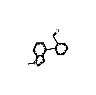 Cn1ccc2c(-c3ccccc3C=O)cccc21